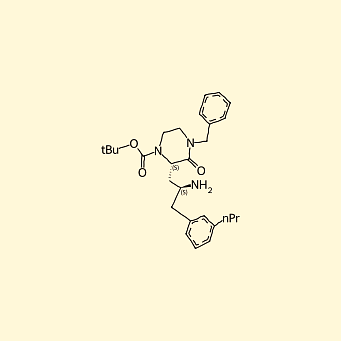 CCCc1cccc(C[C@H](N)C[C@H]2C(=O)N(Cc3ccccc3)CCN2C(=O)OC(C)(C)C)c1